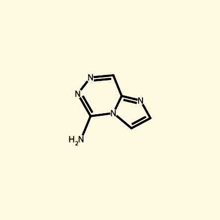 Nc1nncc2nccn12